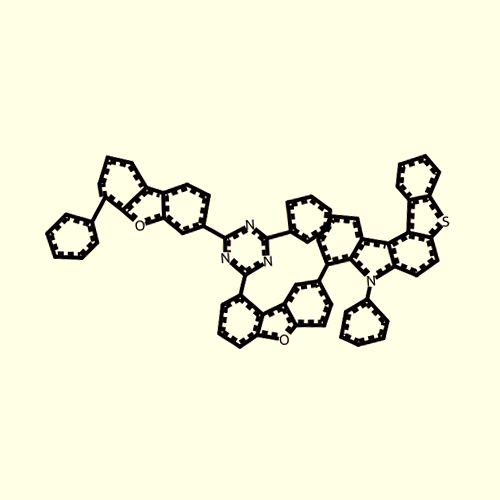 c1ccc(-c2nc(-c3ccc4c(c3)oc3c(-c5ccccc5)cccc34)nc(-c3cccc4oc5ccc(-c6cccc7c8c9c(ccc8n(-c8ccccc8)c67)sc6ccccc69)cc5c34)n2)cc1